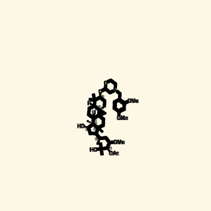 COc1ccc(CN2CCOC(O[C@H]3CC[C@]45CC46CC[C@]4(C)C([C@H](C)CC(OC)[C@H](OC(C)=O)C(C)(C)O)C[C@H](O)[C@@]4(C)[C@@H]6CC[C@H]5C3(C)C)C2)c(OC)c1